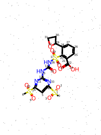 CS(=O)(=O)c1cc(S(C)(=O)=O)nc(NC(=O)NS(=O)(=O)c2c(C(=O)O)cccc2C2CCO2)n1